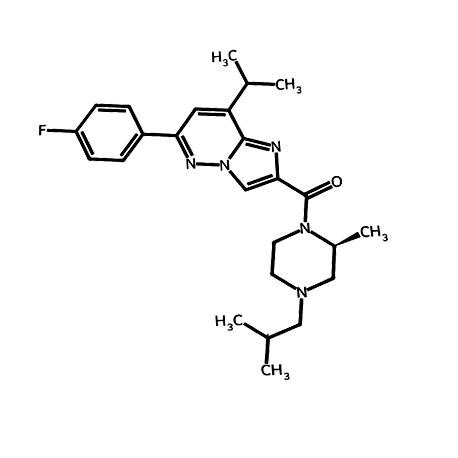 C[C](C)CN1CCN(C(=O)c2cn3nc(-c4ccc(F)cc4)cc(C(C)C)c3n2)[C@@H](C)C1